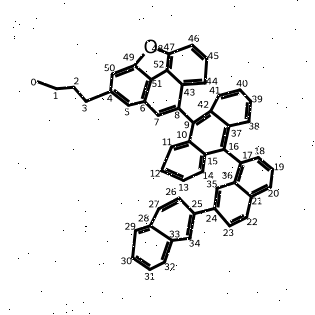 CCCCc1cc2cc(-c3c4ccccc4c(-c4cccc5ccc(-c6ccc7ccccc7c6)cc45)c4ccccc34)c3cccc4oc(c1)c2c43